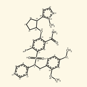 COc1ccc(CN(c2ccncn2)S(=O)(=O)c2cc(C(N)=O)c(OC3CCCC3c3ccnn3C)cc2F)c(OC)c1